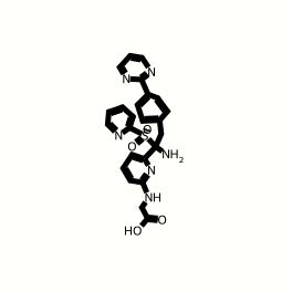 NC(Cc1ccc(-c2ncccn2)cc1)(c1cccc(NCC(=O)O)n1)S(=O)(=O)c1ccccn1